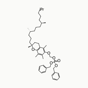 Cc1c(C)c2c(c(C)c1OCOP(=O)(OCc1ccccc1)OCc1ccccc1)CC[C@@](C)(CCC[C@H](C)CCC[C@H](C)CCCC(C)C)O2